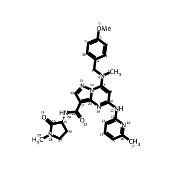 COc1ccc(CN(C)c2cc(Nc3cccc(C)n3)nc3c(C(=O)N[C@@H]4CCN(C)C4=O)cnn23)cc1